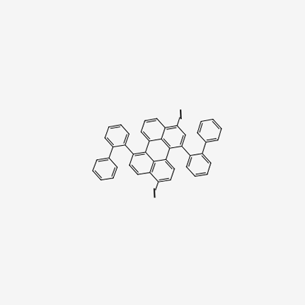 Ic1ccc2c3c(-c4ccccc4-c4ccccc4)cc(I)c4cccc(c5c(-c6ccccc6-c6ccccc6)ccc1c25)c43